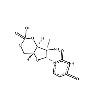 C[C@@]1(N)[C@@H]2OP(=O)(O)OC[C@H]2O[C@H]1n1ccc(=O)[nH]c1=O